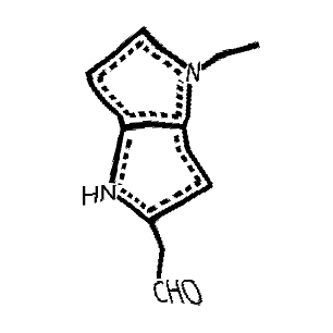 Cn1ccc2[nH]c(C=O)cc21